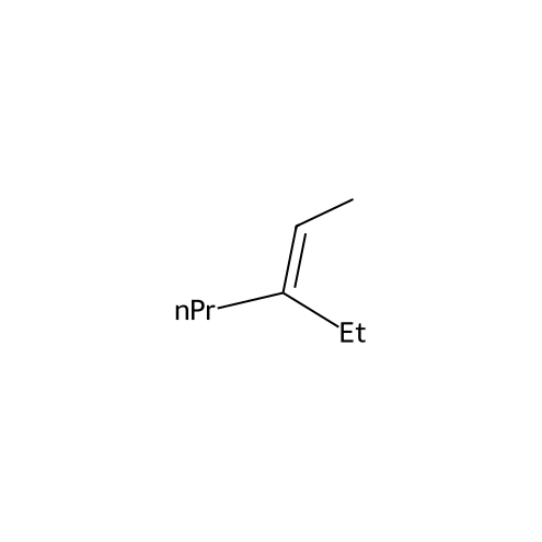 [CH2]CCC(=CC)CC